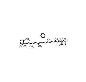 C1=CCCCC1.CC1=C(/C=C/C(C)=C/C=C/C(C)=C/C=C/C=C(C)/C=C/C=C(C)/C=C/C2=C(C)CCCC2(C)C)C(C)(C)CCC1